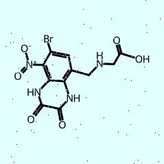 O=C(O)CNCc1cc(Br)c([N+](=O)[O-])c2[nH]c(=O)c(=O)[nH]c12